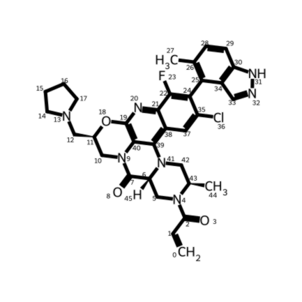 C=CC(=O)N1C[C@@H]2C(=O)N3C[C@@H](CN4CCCC4)Oc4nc5c(F)c(-c6c(C)ccc7[nH]ncc67)c(Cl)cc5c(c43)N2C[C@H]1C